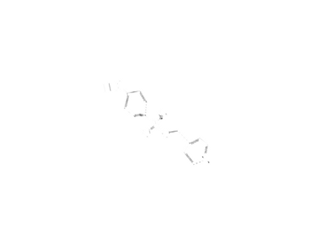 Cc1ccc(S(=O)(=O)OCc2ccncc2)cc1